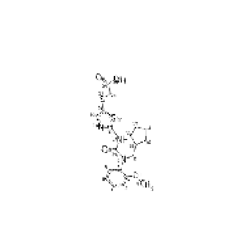 COc1ccccc1N(CC1CCCC1)C(=O)Nc1ncc(SCC(=O)O)s1